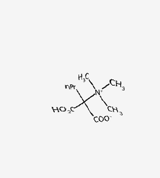 CCCC(C(=O)[O-])(C(=O)O)[N+](C)(C)C